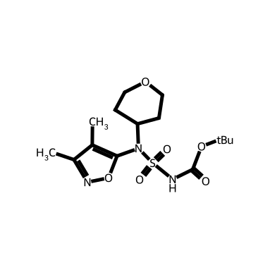 Cc1noc(N(C2CCOCC2)S(=O)(=O)NC(=O)OC(C)(C)C)c1C